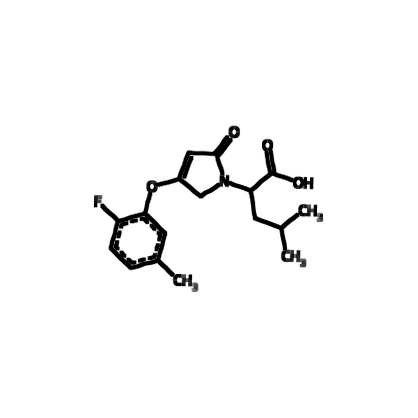 Cc1ccc(F)c(OC2=CC(=O)N(C(CC(C)C)C(=O)O)C2)c1